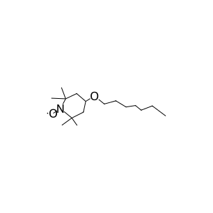 CCCCCCCOC1CC(C)(C)N([O])C(C)(C)C1